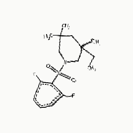 CCC1(C)CN(S(=O)(=O)c2c(F)cccc2F)CC(C)(C)C1